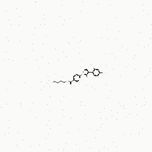 COCCCCNC(=O)c1ccc(-n2ncc(-c3ccc(C#N)cc3F)c2O)nc1